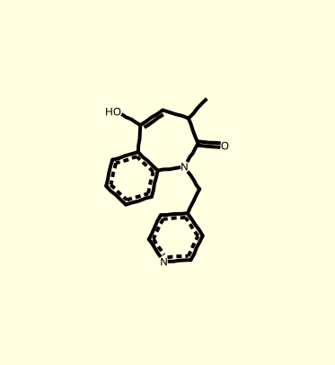 CC1C=C(O)c2ccccc2N(Cc2ccncc2)C1=O